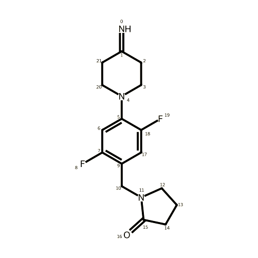 N=C1CCN(c2cc(F)c(CN3CCCC3=O)cc2F)CC1